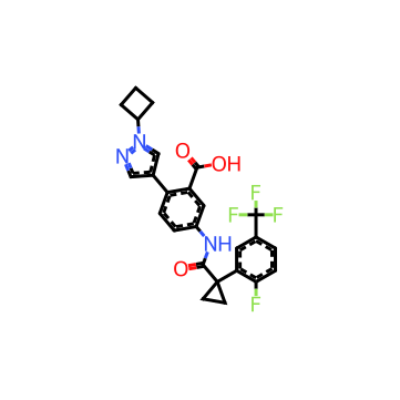 O=C(O)c1cc(NC(=O)C2(c3cc(C(F)(F)F)ccc3F)CC2)ccc1-c1cnn(C2CCC2)c1